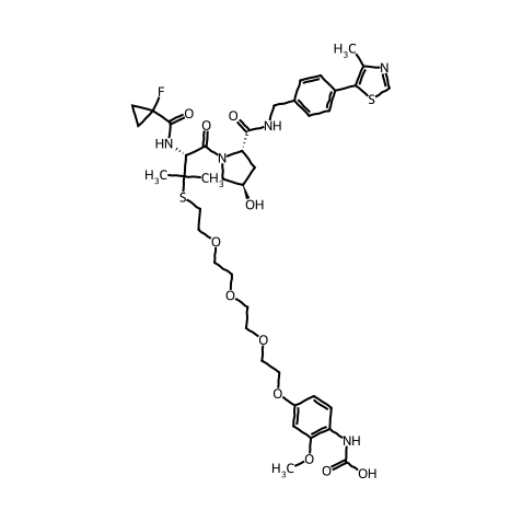 COc1cc(OCCOCCOCCOCCSC(C)(C)[C@H](NC(=O)C2(F)CC2)C(=O)N2C[C@H](O)C[C@H]2C(=O)NCc2ccc(-c3scnc3C)cc2)ccc1NC(=O)O